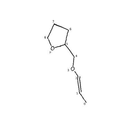 CC=COCC1CCCO1